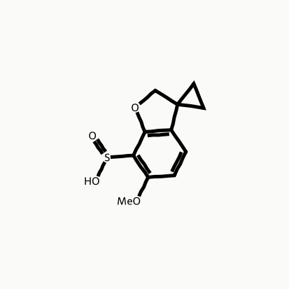 COc1ccc2c(c1S(=O)O)OCC21CC1